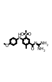 COc1ccc(Nc2cc(C)c(C(=O)N=C(N)N)cc2S(C)(=O)=O)cc1